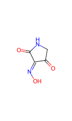 O=C1CNC(=O)/C1=N/O